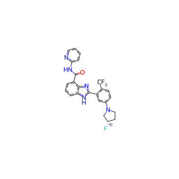 O=C(Nc1ccccn1)c1cccc2[nH]c(-c3cc(N4CC[C@H](F)C4)ccc3C(F)(F)F)nc12